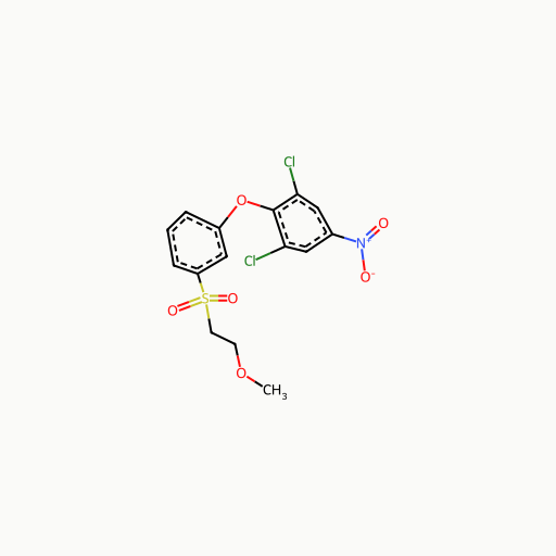 COCCS(=O)(=O)c1cccc(Oc2c(Cl)cc([N+](=O)[O-])cc2Cl)c1